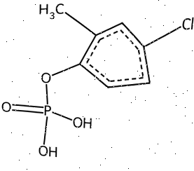 Cc1cc(Cl)ccc1OP(=O)(O)O